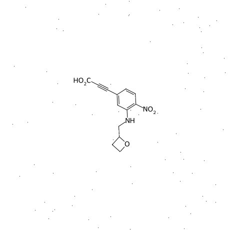 O=C(O)C#Cc1ccc([N+](=O)[O-])c(NCC2CCO2)c1